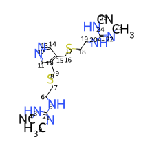 CN=C(NC#N)NCCSCc1cnncc1CSCCNC(=NC)NC#N